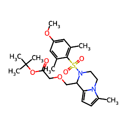 COc1cc(C)c(S(=O)(=O)N2CCn3c(C)ccc3C2COCC(=O)OC(C)(C)C)c(C)c1